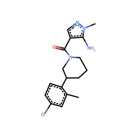 Cc1cc(Cl)ccc1C1CCCN(C(=O)c2cnn(C)c2N)C1